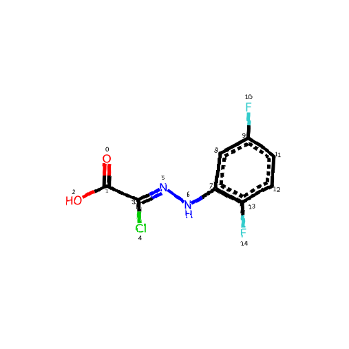 O=C(O)/C(Cl)=N/Nc1cc(F)ccc1F